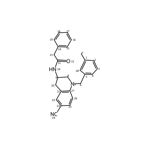 Cc1cccc(CN2CC(NC(=O)Cc3ccccc3)Cc3cc(C#N)ccc32)c1